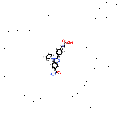 NC(=O)c1ccc2c(c1)nc(-c1ccc(/C=C/C(=O)O)cc1)n2C1CCCC1